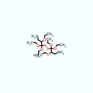 CCOC(C[SiH3])C(OCC)(OCC)SSC(OCC)(OCC)C(C[SiH3])OCC